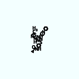 Cc1cnc(Nc2nc(Sc3ccc(NC(=O)C4CC4)cc3)nc(N3CCN(c4ccccc4)CC3)n2)s1